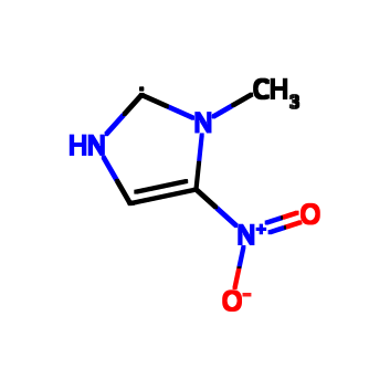 CN1[CH]NC=C1[N+](=O)[O-]